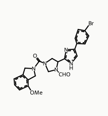 COc1cccc2c1CN(C(=O)N1CC(c3nc(-c4ccc(Br)cc4)c[nH]3)N(C=O)C1)C2